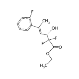 CCOC(=O)C(F)(F)[C@@H](O)/C=C(\C)c1ccccc1F